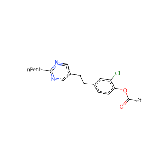 CCCCCc1ncc(CCc2ccc(OC(=O)CC)c(Cl)c2)cn1